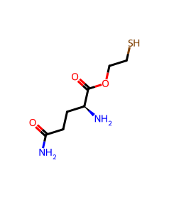 NC(=O)CC[C@H](N)C(=O)OCCS